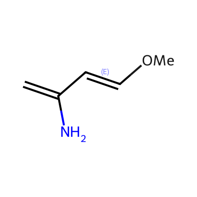 C=C(N)/C=C/OC